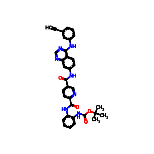 C#Cc1cccc(Nc2ncnc3cc(NC(=O)c4ccc(C(=O)Nc5ccccc5NC(=O)OC(C)(C)C)nc4)ccc23)c1